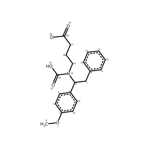 COc1ccc(C(Cc2ccccc2)N(CCCC(=O)Cl)C(=O)O)cc1